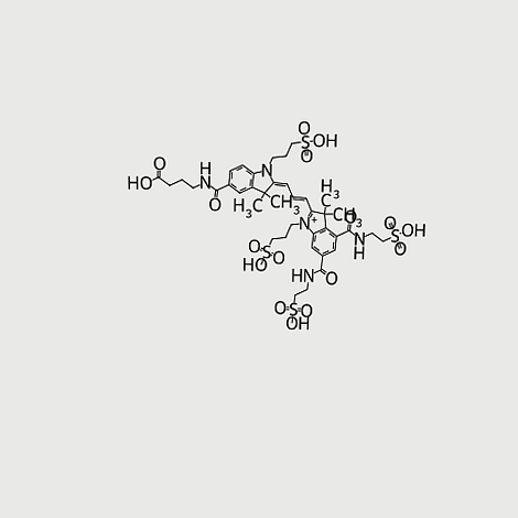 CC1(C)C(/C=C/C=C2/N(CCCS(=O)(=O)O)c3ccc(C(=O)NCCCC(=O)O)cc3C2(C)C)=[N+](CCCS(=O)(=O)O)c2cc(C(=O)NCCS(=O)(=O)O)cc(C(=O)NCCS(=O)(=O)O)c21